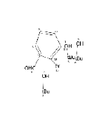 CC(C)(C)O.CC(C)(C)O.CC(C)(C)O.O=Cc1ccccc1Br